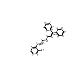 Fc1ccccc1CNCCCC=C(c1ccccc1)c1ccccc1